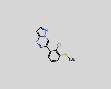 CC(C)(C)Sc1cccc(-c2cnc3ccnn3c2)c1Cl